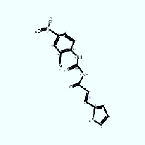 O=C(/C=C/c1cccs1)NC(=S)Nc1ccc([N+](=O)[O-])cc1Br